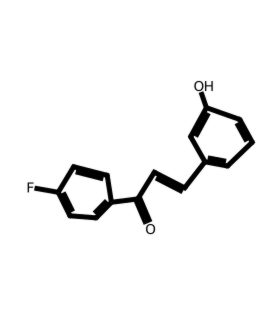 O=C(C=Cc1cccc(O)c1)c1ccc(F)cc1